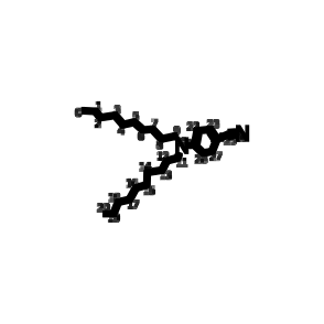 CCCCCCCCCCN(CCCCCCCCCC)C1=CC=C(C#N)CC1